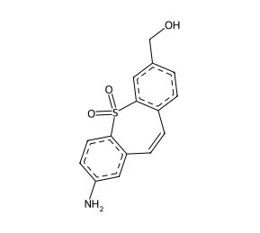 Nc1ccc2c(c1)C=Cc1ccc(CO)cc1S2(=O)=O